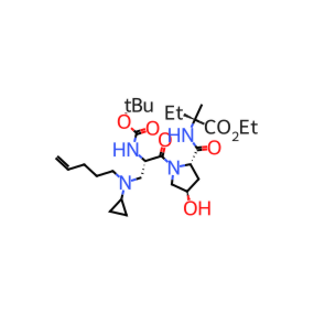 C=CCCCN(C[C@H](NC(=O)OC(C)(C)C)C(=O)N1C[C@H](O)C[C@H]1C(=O)N[C@@](C)(CC)C(=O)OCC)C1CC1